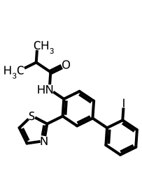 CC(C)C(=O)Nc1ccc(-c2ccccc2I)cc1-c1nccs1